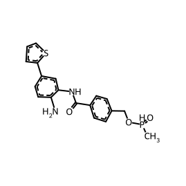 C[PH](=O)OCc1ccc(C(=O)Nc2cc(-c3cccs3)ccc2N)cc1